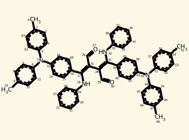 Cc1ccc(N(c2ccc(C)cc2)c2ccc(/C(Nc3ccccc3)=C(C=O)/C(C=O)=C(\Nc3ccccc3)c3ccc(N(c4ccc(C)cc4)c4ccc(C)cc4)cc3)cc2)cc1